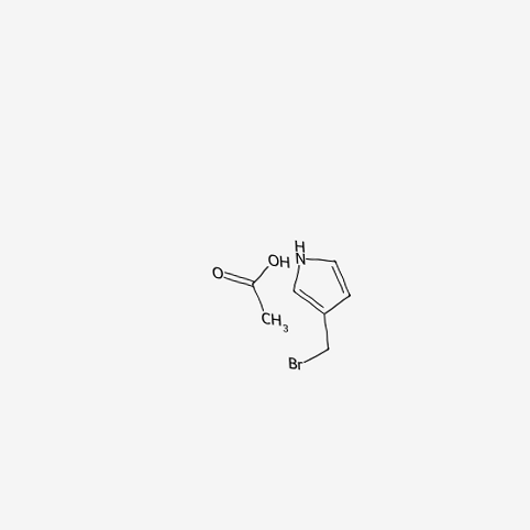 BrCc1cc[nH]c1.CC(=O)O